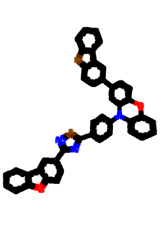 c1ccc2c(c1)Oc1ccc(-c3ccc4sc5ccccc5c4c3)cc1N2c1ccc(-c2nc(-c3ccc4oc5ccccc5c4c3)ns2)cc1